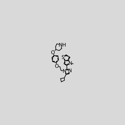 Cn1c(-c2ncc(C3CCC3)n2CCOc2ccc(OC3CCNCC3)cc2)cc2sccc21